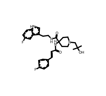 CC(C)(O)CN1CCC(NC(=O)C=Cc2ccc(F)cc2)(C(=O)NCCc2c[nH]c3ccc(F)cc23)CC1